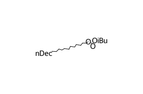 CCCCCCCCCCCCCCCCCCCCCCOC(=O)OCC(C)C